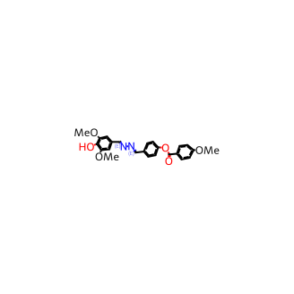 COc1ccc(C(=O)Oc2ccc(/C=N/N=C/c3cc(OC)c(O)c(OC)c3)cc2)cc1